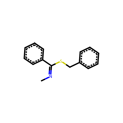 CN=C(SCc1ccccc1)c1c[c]ccc1